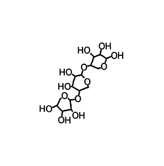 OC1COC(OC2COC(OC3COC(O)C(O)C3O)C(O)C2O)C(O)C1O